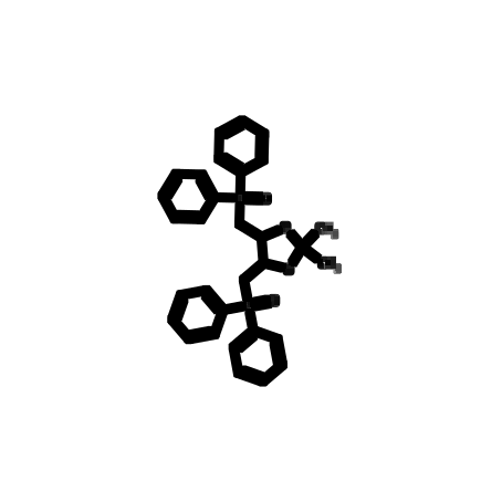 CC1(C)OC(CP(=O)(c2ccccc2)c2ccccc2)C(CP(=O)(c2ccccc2)c2ccccc2)O1